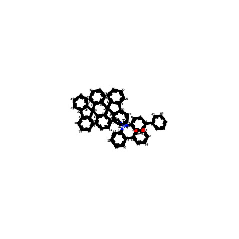 c1ccc(-c2ccc(N(Cc3cccc4c3C3(c5ccccc5-c5ccccc53)c3ccccc3C43c4ccccc4-c4ccccc43)c3ccccc3-c3ccccc3)cc2)cc1